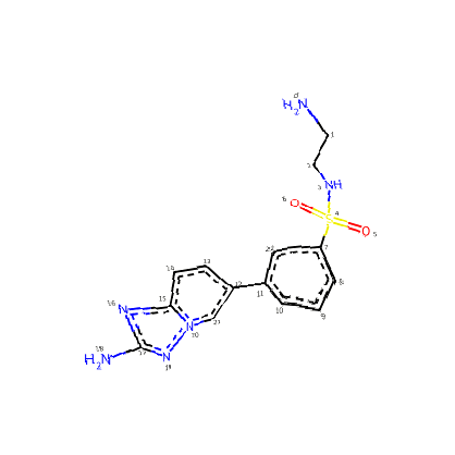 NCCNS(=O)(=O)c1cccc(-c2ccc3nc(N)nn3c2)c1